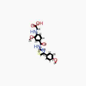 COc1ccc(-c2csc(NC(=O)c3ccc(NCC(=O)O)c(OC)c3)n2)cc1